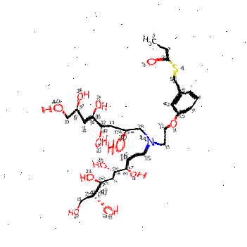 CCC(=O)SCc1cccc(OCCN(CC[C@@H](O)[C@@H](O)C[C@H](O)[C@H](O)CO)C[C@@H](O)C[C@@H](O)[C@H](O)C[C@H](O)CO)c1